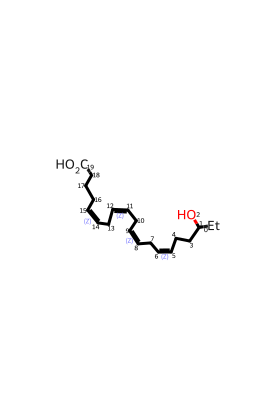 CCC(O)CC/C=C\C/C=C\C/C=C\C/C=C\CCCC(=O)O